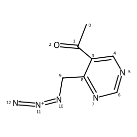 CC(=O)c1cncnc1CN=[N+]=[N-]